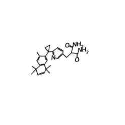 Cc1cc2c(cc1C1(c3ccc(CC(C(N)=O)C(N)=O)cn3)CC1)C(C)(C)C=CC2(C)C